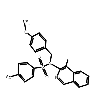 CC(=O)c1ccc(S(=O)(=O)N(Cc2ccc(OC(F)(F)F)cc2)c2ncc3ccccc3c2C)cc1